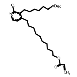 C=CC(=O)OCCCCCCCCCCc1ccnc(Cl)c1CCCCCCCCCCCCCCCC